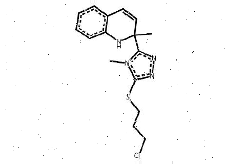 Cn1c(SCCCCl)nnc1C1(C)C=Cc2ccccc2N1